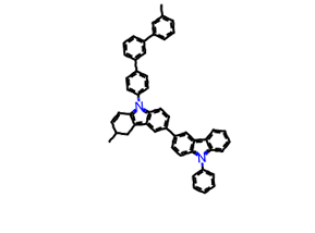 Cc1cccc(-c2cccc(-c3ccc(-n4c5c(c6cc(-c7ccc8c(c7)c7ccccc7n8-c7ccccc7)ccc64)CC(C)C=C5)cc3)c2)c1